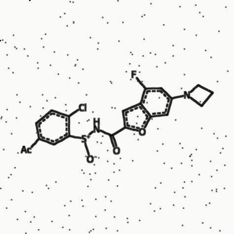 CC(=O)c1ccc(Cl)c([S+]([O-])NC(=O)c2cc3c(F)cc(N4CCC4)cc3o2)c1